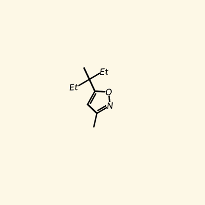 CCC(C)(CC)c1cc(C)no1